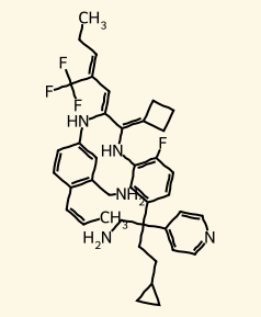 C/C=C\c1ccc(N/C(=C\C(=C\CC)C(F)(F)F)C(Nc2cc(C(CN)(CCC3CC3)c3ccncc3)ccc2F)=C2CCC2)cc1CN